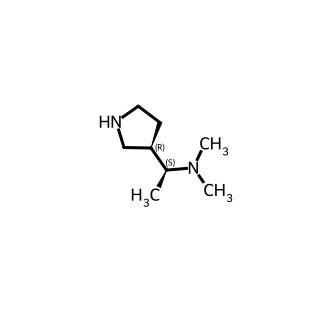 C[C@@H]([C@@H]1CCNC1)N(C)C